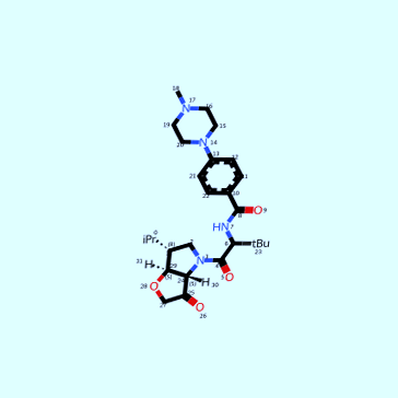 CC(C)[C@@H]1CN(C(=O)C(NC(=O)c2ccc(N3CCN(C)CC3)cc2)C(C)(C)C)[C@@H]2C(=O)CO[C@H]21